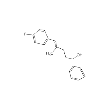 C/C(=C\c1ccc(F)cc1)CCC(O)c1ccccc1